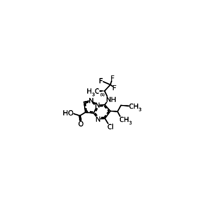 CCC(C)c1c(Cl)nc2c(C(=O)O)cnn2c1N[C@@H](C)C(F)(F)F